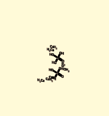 O.O.O=P(O)(O)O.O=P(O)(O)O.[CaH2].[CaH2].[CaH2].[CaH2].[CaH2]